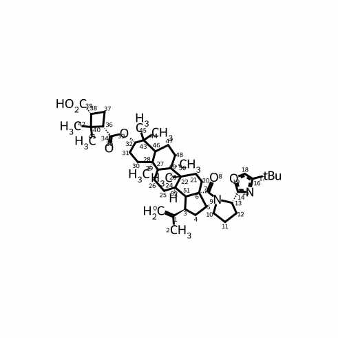 C=C(C)[C@@H]1CC[C@]2(C(=O)N3CCC[C@H]3c3nc(C(C)(C)C)co3)CC[C@]3(C)[C@H](CCC4[C@@]5(C)CC[C@H](OC(=O)[C@H]6C[C@@H](C(=O)O)C6(C)C)C(C)(C)C5CC[C@]43C)C12